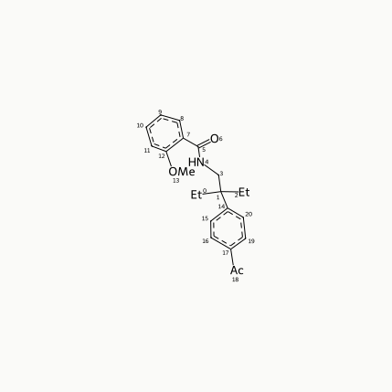 CCC(CC)(CNC(=O)c1ccccc1OC)c1ccc(C(C)=O)cc1